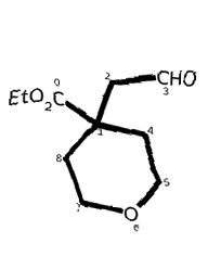 CCOC(=O)C1(CC=O)CCOCC1